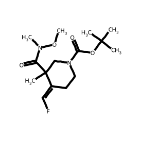 CON(C)C(=O)C1(C)CN(C(=O)OC(C)(C)C)CCC1=CF